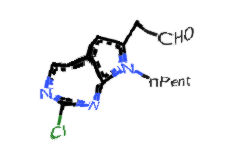 CCCCCn1c(CC=O)cc2cnc(Cl)nc21